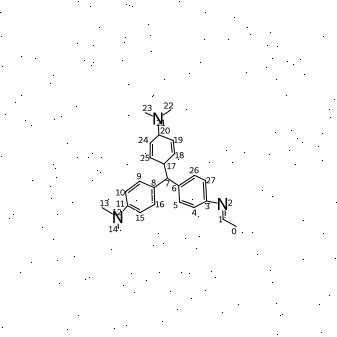 C/C=N/c1ccc(C(c2ccc(N(C)C)cc2)C2C=CC(N(C)C)C=C2)cc1